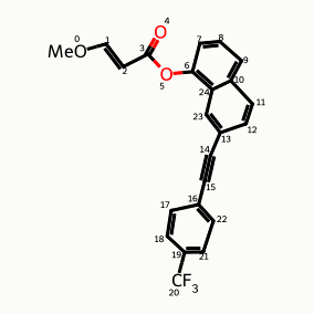 COC=CC(=O)Oc1cccc2ccc(C#Cc3ccc(C(F)(F)F)cc3)cc12